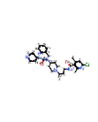 Cc1cc(Cl)nc(C)c1C(=O)NCC[C@@H](C)N1CCC(N(Cc2ccccc2)C(=O)Nc2ccncc2)CC1